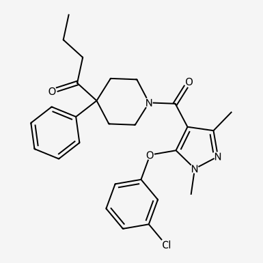 CCCC(=O)C1(c2ccccc2)CCN(C(=O)c2c(C)nn(C)c2Oc2cccc(Cl)c2)CC1